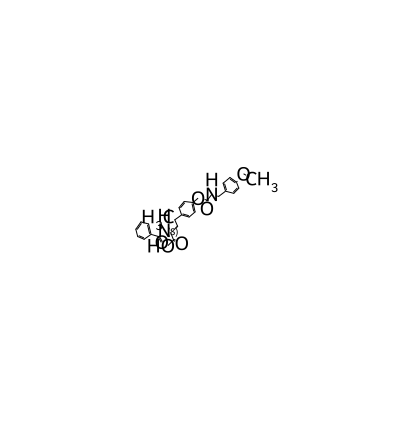 COc1ccc(CNC(=O)Oc2ccc(C(C)C[C@H](NC(=O)c3ccccc3)C(=O)O)cc2)cc1